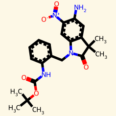 CC(C)(C)OC(=O)Nc1ccccc1CN1C(=O)C(C)(C)c2cc(N)c([N+](=O)[O-])cc21